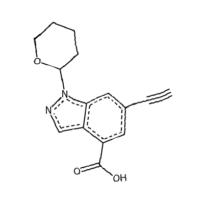 C#Cc1cc(C(=O)O)c2cnn(C3CCCCO3)c2c1